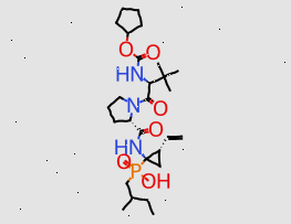 C=C[C@@H]1C[C@]1(NC(=O)[C@@H]1CCCN1C(=O)[C@@H](NC(=O)OC1CCCC1)C(C)(C)C)P(=O)(O)CC(C)CC